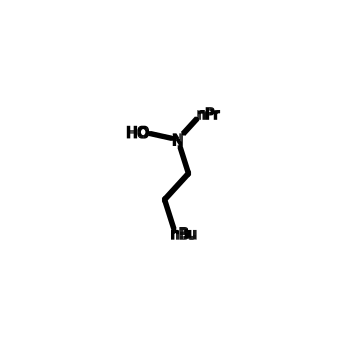 CCCCCCN(O)CCC